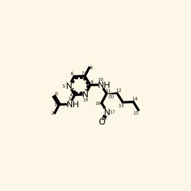 C=C(C)Nc1ncc(C)c(N[C@@H](CCCC)CN=O)n1